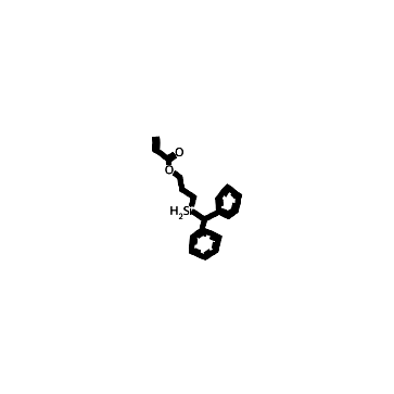 C=CC(=O)OCCC[SiH2]C(c1ccccc1)c1ccccc1